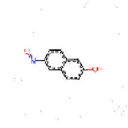 O=Nc1ccc2cc(O)ccc2c1